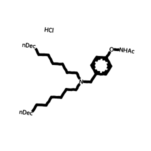 CCCCCCCCCCCCCCCCN(CCCCCCCCCCCCCCCC)Cc1ccc(ONC(C)=O)cc1.Cl